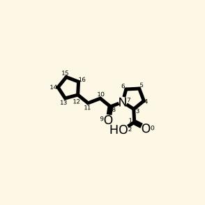 O=C(O)C1CCCN1C(=O)CCC1CCCC1